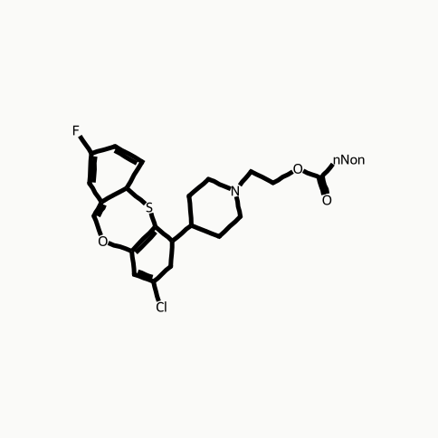 CCCCCCCCCC(=O)OCCN1CCC(C2CC(Cl)=CC3=C2SC2C=CC(F)=CC2=CO3)CC1